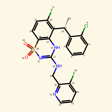 C[C@H](c1ccccc1Cl)c1c(F)ccc2c1NC(NCc1ncccc1F)=NS2(=O)=O